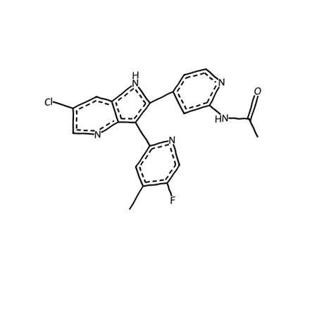 CC(=O)Nc1cc(-c2[nH]c3cc(Cl)cnc3c2-c2cc(C)c(F)cn2)ccn1